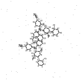 Cc1ccccc1-c1cc(F)c(N(c2ccc(C#N)cc2)c2ccc3ccc4c(N(c5ccc(C#N)cc5)c5cc(F)c(-c6ccccc6C)cc5F)ccc5ccc2c3c54)cc1F